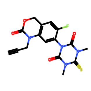 C#CCN1C(=O)OCc2cc(F)c(-n3c(=O)n(C)c(=S)n(C)c3=O)cc21